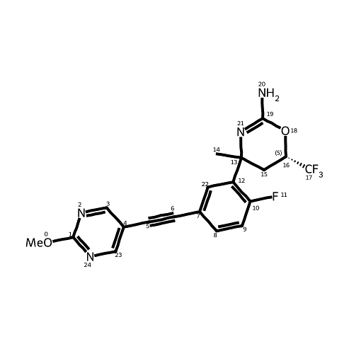 COc1ncc(C#Cc2ccc(F)c(C3(C)C[C@@H](C(F)(F)F)OC(N)=N3)c2)cn1